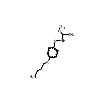 COC(C)NSc1ccc(OCCCN)cc1